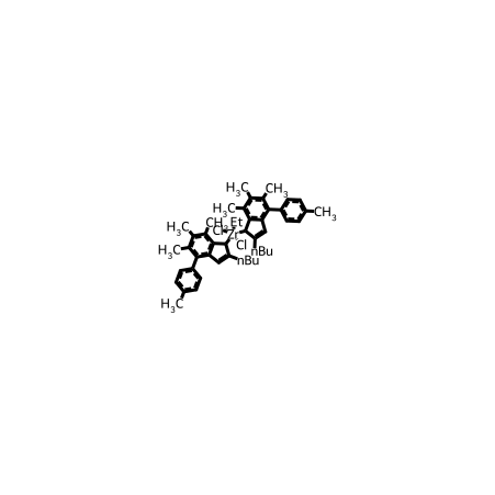 CCCCC1=Cc2c(-c3ccc(C)cc3)c(C)c(C)c(C)c2[CH]1[Zr]([Cl])([Cl])([CH2]C)[CH]1C(CCCC)=Cc2c(-c3ccc(C)cc3)c(C)c(C)c(C)c21